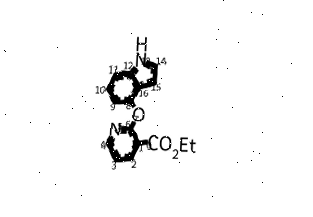 CCOC(=O)c1cccnc1Oc1cccc2[nH]ccc12